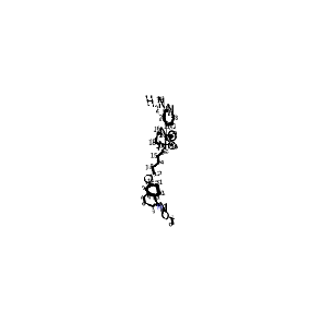 CCO/N=C1\CCCc2cc(OCCCCCN3CCN(c4ccnc(N)c4)S3(=O)=O)ccc21